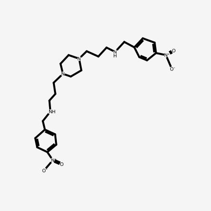 O=[N+]([O-])c1ccc(CNCCCN2CCN(CCCNCc3ccc([N+](=O)[O-])cc3)CC2)cc1